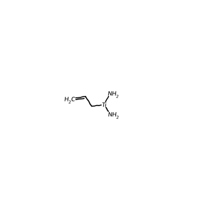 C=C[CH2][Ti]([NH2])[NH2]